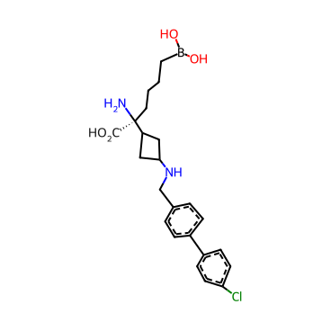 N[C@](CCCCB(O)O)(C(=O)O)C1CC(NCc2ccc(-c3ccc(Cl)cc3)cc2)C1